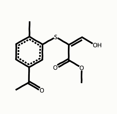 COC(=O)C(=CO)Sc1cc(C(C)=O)ccc1C